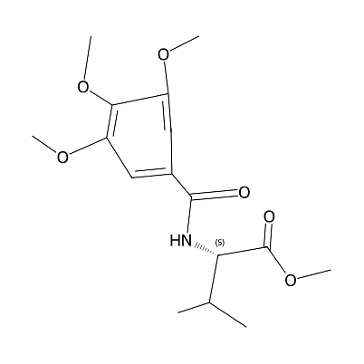 COC(=O)[C@@H](NC(=O)c1cc(OC)c(OC)c(OC)c1)C(C)C